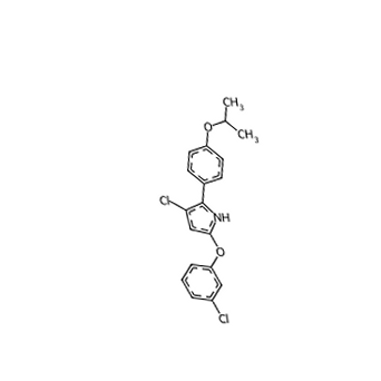 CC(C)Oc1ccc(-c2[nH]c(Oc3cccc(Cl)c3)cc2Cl)cc1